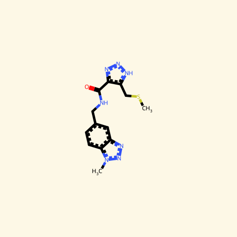 CSCc1[nH]nnc1C(=O)NCc1ccc2c(c1)nnn2C